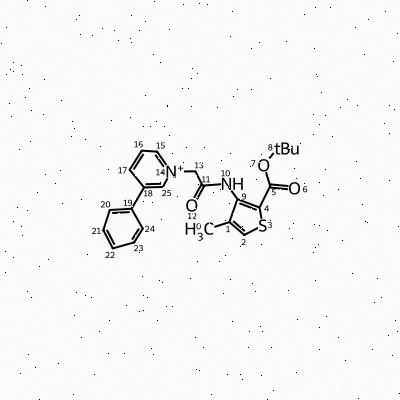 Cc1csc(C(=O)OC(C)(C)C)c1NC(=O)C[n+]1cccc(-c2ccccc2)c1